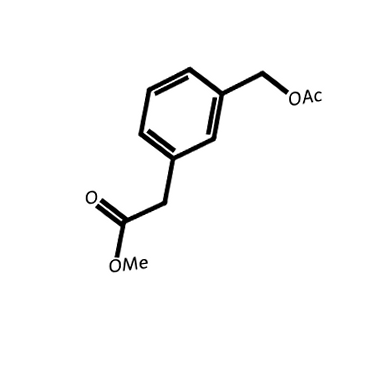 COC(=O)Cc1cccc(COC(C)=O)c1